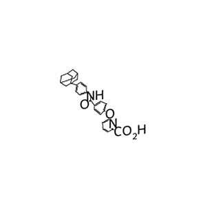 O=C(Nc1ccc(C23CC4CC(CC(C4)C2)C3)cc1)c1ccc(Oc2cccc(C(=O)O)n2)cc1